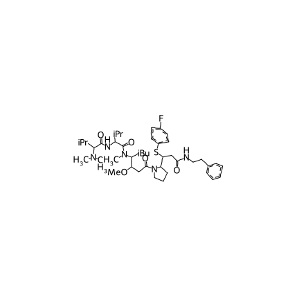 CCC(C)C(C(CC(=O)N1CCCC1C(CC(=O)NCCc1ccccc1)Sc1ccc(F)cc1)OC)N(C)C(=O)C(NC(=O)C(C(C)C)N(C)C)C(C)C